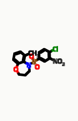 Cc1cccc2c1N(S(=O)(=O)c1ccc(Cl)c([N+](=O)[O-])c1)CCCO2